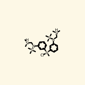 C[SiH](C)CN(c1cccc([Si](C)(Cl)c2cccc(N(C[SiH](C)C)[Si](C)(C)C)c2)c1)[Si](C)(C)C